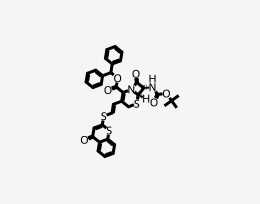 CC(C)(C)OC(=O)N[C@@H]1C(=O)N2C(C(=O)OC(c3ccccc3)c3ccccc3)=C(C=CSc3cc(=O)c4ccccc4s3)CS[C@@H]12